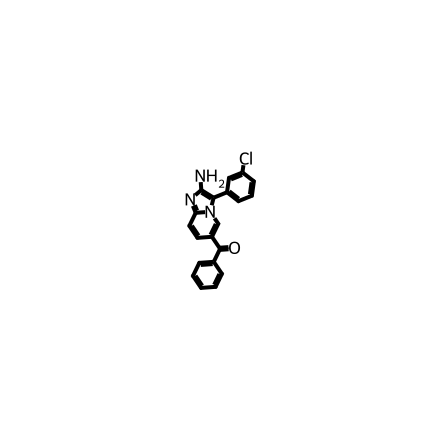 Nc1nc2ccc(C(=O)c3ccccc3)cn2c1-c1cccc(Cl)c1